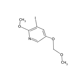 COCOc1cnc(OC)c(I)c1